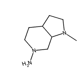 CN1CCC2CCN(N)CC21